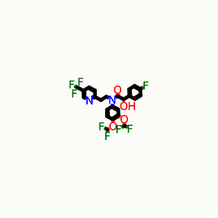 O=C([C@H](O)c1ccc(F)cc1)N(CCc1ccc(C(F)(F)F)cn1)c1ccc(OC(F)F)c(OC(F)F)c1